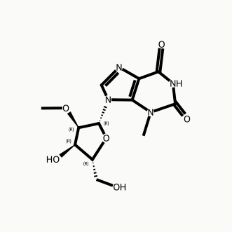 CO[C@@H]1[C@H](O)[C@@H](CO)O[C@H]1n1cnc2c(=O)[nH]c(=O)n(C)c21